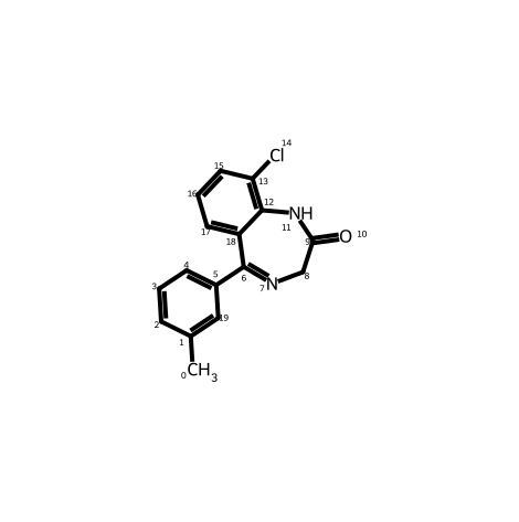 Cc1cccc(C2=NCC(=O)Nc3c(Cl)cccc32)c1